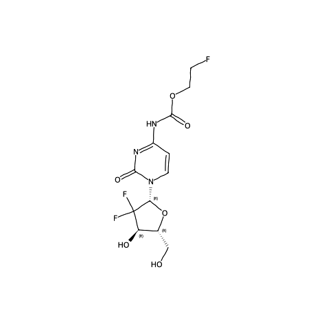 O=C(Nc1ccn([C@@H]2O[C@H](CO)[C@@H](O)C2(F)F)c(=O)n1)OCCF